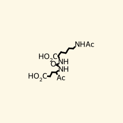 CC(=O)NCCCCC(NC(=O)NC(CCC(=O)O)C(C)=O)C(=O)O